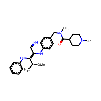 CO[C@@H](C)/C(Nc1ccccc1)=C(/C=N)Nc1ccc(CN(C)C(=O)C2CCN(C(C)=O)CC2)cc1